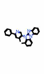 Cc1cc(-c2ccccc2)ncc1-n1c2c(C)cccc2n2c3ccccc3nc12